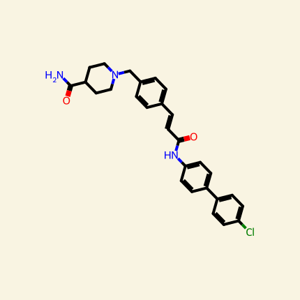 NC(=O)C1CCN(Cc2ccc(C=CC(=O)Nc3ccc(-c4ccc(Cl)cc4)cc3)cc2)CC1